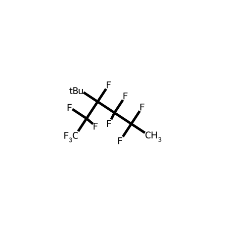 CC(C)(C)C(F)(C(F)(F)C(C)(F)F)C(F)(F)C(F)(F)F